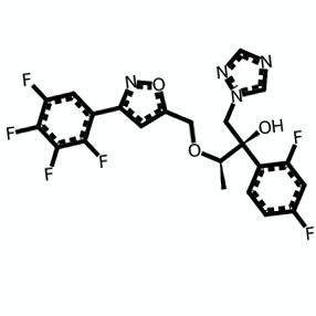 C[C@@H](OCc1cc(-c2cc(F)c(F)c(F)c2F)no1)[C@](O)(Cn1cncn1)c1ccc(F)cc1F